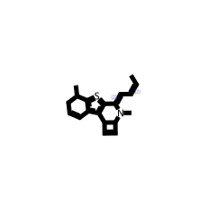 C/C=C\C=C1\c2sc3c(c2C2C=CC2N1C)C=CCC3C